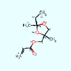 C=CC(=O)OCC1(C)COC(C)(CC)O1